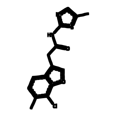 Cc1cnc(NC(=O)Cc2coc3c(Cl)c(C)ccc23)s1